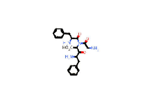 NCC(=O)N(C(=O)C(N)Cc1ccccc1)C(C(=O)O)C(=O)C(N)Cc1ccccc1